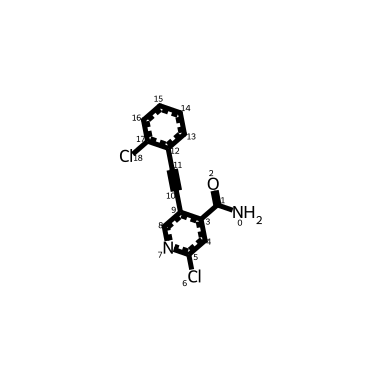 NC(=O)c1cc(Cl)ncc1C#Cc1ccccc1Cl